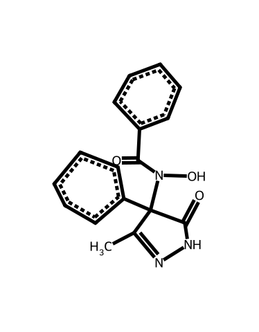 CC1=NNC(=O)C1(c1ccccc1)N(O)C(=O)c1ccccc1